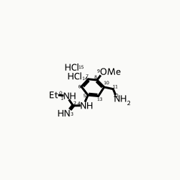 CCNC(=N)Nc1ccc(OC)c(CN)c1.Cl.Cl